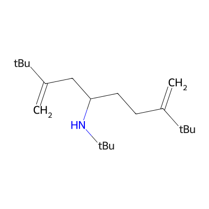 C=C(CCC(CC(=C)C(C)(C)C)NC(C)(C)C)C(C)(C)C